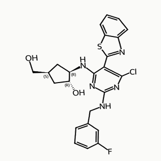 OC[C@@H]1C[C@@H](O)[C@H](Nc2nc(NCc3cccc(F)c3)nc(Cl)c2-c2nc3ccccc3s2)C1